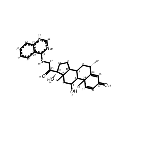 C[C@H]1CC2C([C@@H](O)CC3(C)C2CC[C@]3(O)C(=O)CSc2ncnc3ccccc23)C2(C)C=CC(=O)C=C12